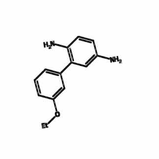 CCOc1cccc(-c2cc(N)ccc2N)c1